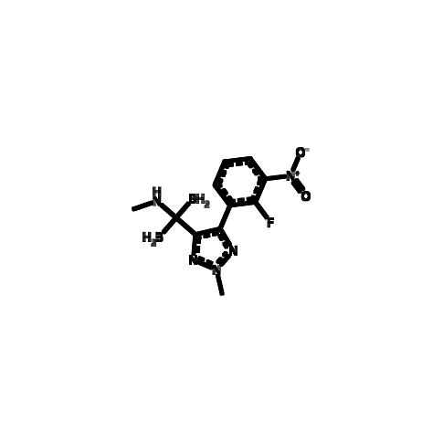 BC(B)(NC)c1nn(C)nc1-c1cccc([N+](=O)[O-])c1F